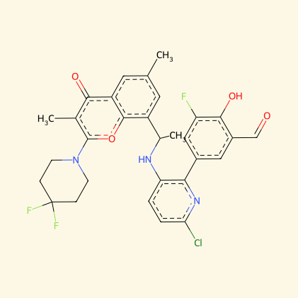 Cc1cc(C(C)Nc2ccc(Cl)nc2-c2cc(F)c(O)c(C=O)c2)c2oc(N3CCC(F)(F)CC3)c(C)c(=O)c2c1